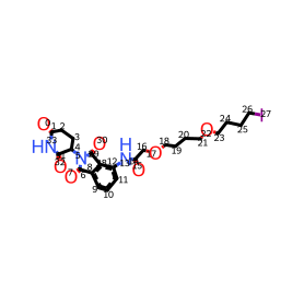 O=C1CCC(N2C(=O)c3cccc(NC(=O)COCCCCOCCCCI)c3C2=O)C(=O)N1